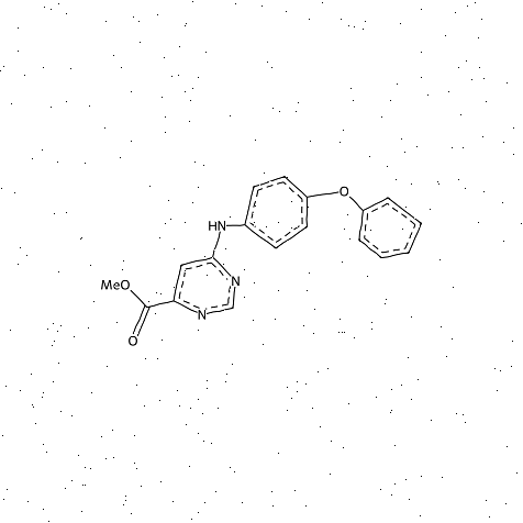 COC(=O)c1cc(Nc2ccc(Oc3ccccc3)cc2)ncn1